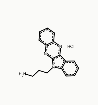 Cl.NCCCn1c2ccccc2c2nc3ccccc3nc21